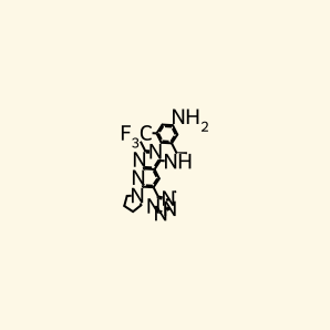 Cc1nc(N[C@H](C)c2cc(N)cc(C(F)(F)F)c2)c2cc(-c3nnnn3C)c(N3CCCC3)nc2n1